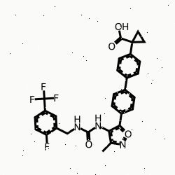 Cc1noc(-c2ccc(-c3ccc(C4(C(=O)O)CC4)cc3)cc2)c1NC(=O)NCc1cc(C(F)(F)F)ccc1F